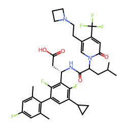 Cc1cc(F)cc(C)c1-c1cc(C2CC2)c(F)c([C@H](CC(=O)O)NC(=O)C(CC(C)C)n2cc(CCN3CCC3)c(C(F)(F)F)cc2=O)c1F